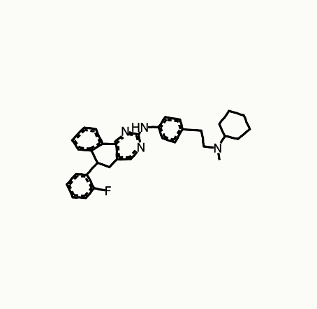 CN(CCc1ccc(Nc2ncc3c(n2)-c2ccccc2C(c2ccccc2F)C3)cc1)C1CCCCC1